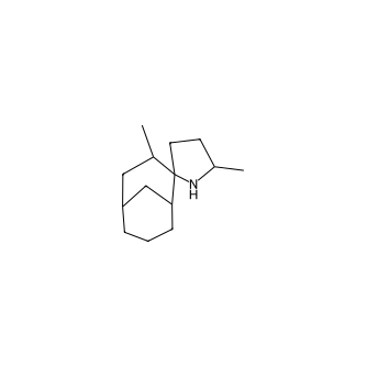 CC1CCC2(N1)C(C)CC1CCCC2C1